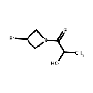 CC(O)C(=O)N1CC(C(C)C)C1